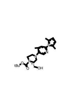 Cc1cc(-n2c(C)ccc2C)ncc1N1CCN(C(=O)OC(C)(C)C)[C@@H](CO)C1